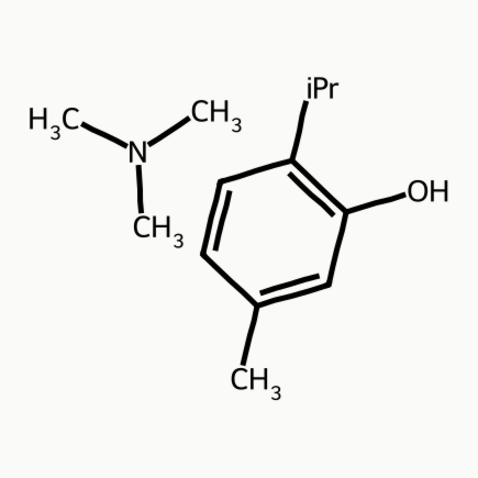 CN(C)C.Cc1ccc(C(C)C)c(O)c1